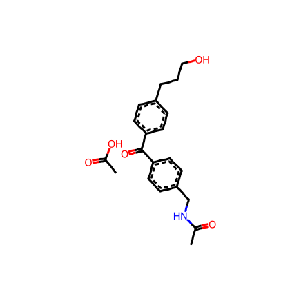 CC(=O)NCc1ccc(C(=O)c2ccc(CCCO)cc2)cc1.CC(=O)O